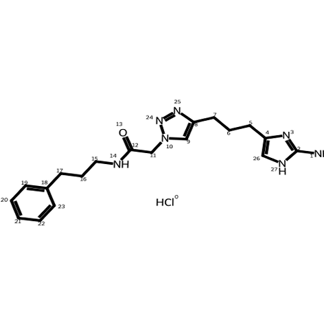 Cl.Nc1nc(CCCc2cn(CC(=O)NCCCc3ccccc3)nn2)c[nH]1